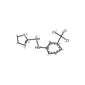 ClC(Cl)(Cl)c1cccc(NNC2=NCCS2)c1